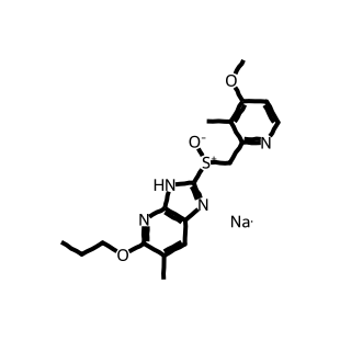 CCCOc1nc2[nH]c([S+]([O-])Cc3nccc(OC)c3C)nc2cc1C.[Na]